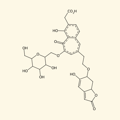 O=C(O)Cc1ccc2cc(CCOC3CC4OC(=O)C=C4C=C3O)cc(OCC3OC(CO)C(O)C(O)C3O)c(=O)c2c1O